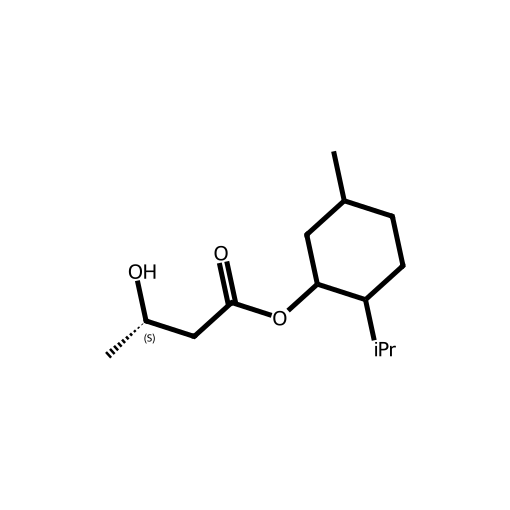 CC1CCC(C(C)C)C(OC(=O)C[C@H](C)O)C1